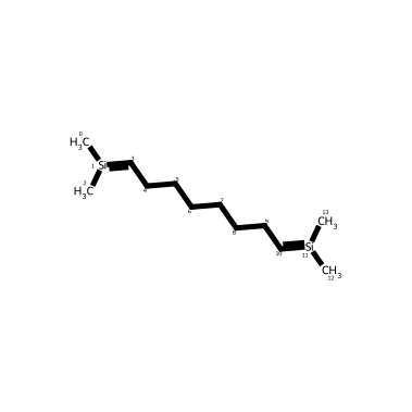 C[Si](C)=CCCCCCCC=[Si](C)C